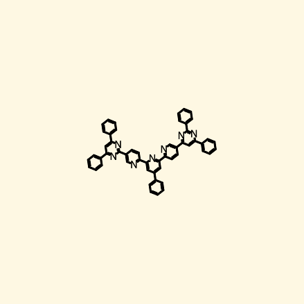 c1ccc(-c2cc(-c3ccc(-c4cc(-c5ccccc5)nc(-c5ccccc5)n4)cn3)nc(-c3ccc(-c4nc(-c5ccccc5)cc(-c5ccccc5)n4)cn3)c2)cc1